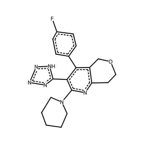 Fc1ccc(-c2c3c(nc(N4CCCCC4)c2-c2nnn[nH]2)CCOC3)cc1